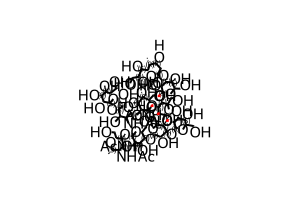 CC(=O)NC1C(O)[C@H](O[C@@H]2OC(CO)[C@H](O)[C@H](O)C2O)[C@H](CO)O[C@H]1OC1[C@@H](OCC2O[C@@H](O[C@@H]3C(CO)O[C@@H](O[C@@H]4C(CO)O[C@@H](C)C(NC(C)=O)[C@H]4O)C(NC(C)=O)[C@H]3O)C(O)[C@@H](O[C@H]3OC(CO)[C@@H](O)C(O)C3O[C@@H]3OC(CO)[C@@H](O[C@@H]4OC(CO)[C@H](O)[C@H](O[C@]5(OC=O)C[C@@H](O)[C@@H](C)C([C@@H](O)[C@H](O)CO)O5)C4O)[C@H](O)C3NC(C)=O)[C@@H]2O)OC(CO)[C@@H](O)[C@@H]1O